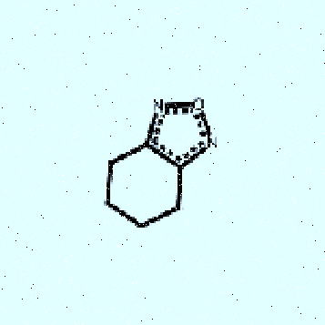 [CH]1CCCc2nonc21